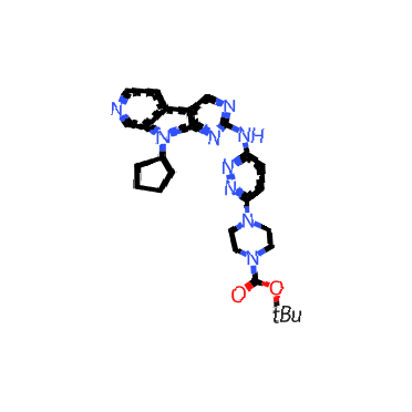 CC(C)(C)OC(=O)N1CCN(c2ccc(Nc3ncc4c5ccncc5n(C5CCCC5)c4n3)nn2)CC1